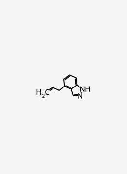 C=CCc1cccc2[nH]ncc12